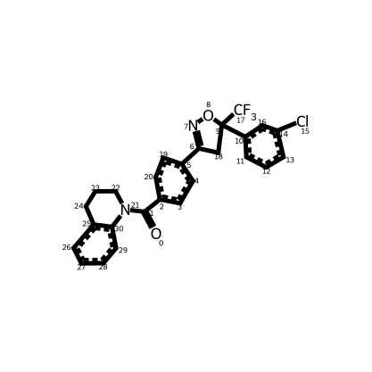 O=C(c1ccc(C2=NOC(c3cccc(Cl)c3)(C(F)(F)F)C2)cc1)N1CCCc2ccccc21